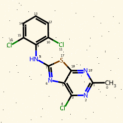 Cc1nc(Cl)c2nc(Nc3c(Cl)cccc3Cl)sc2n1